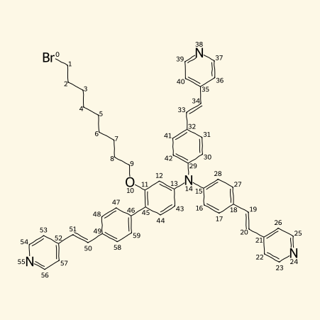 BrCCCCCCCCCOc1cc(N(c2ccc(C=Cc3ccncc3)cc2)c2ccc(C=Cc3ccncc3)cc2)ccc1-c1ccc(C=Cc2ccncc2)cc1